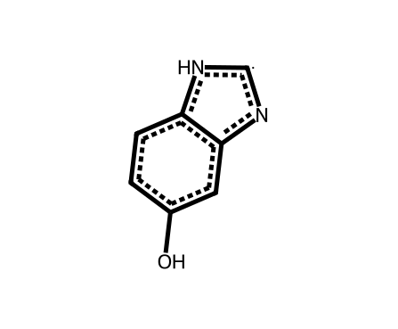 Oc1ccc2[nH][c]nc2c1